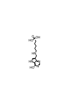 O=P(O)(O)CCCCCNCc1c[nH]c2c(O)ncnc12